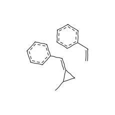 C=Cc1ccccc1.CC1CC1=Cc1ccccc1